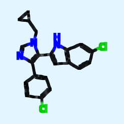 Clc1ccc(-c2ncn(CC3CC3)c2-c2cc3ccc(Cl)cc3[nH]2)cc1